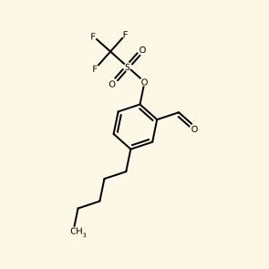 CCCCCc1ccc(OS(=O)(=O)C(F)(F)F)c(C=O)c1